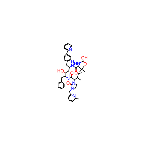 CCC(C)C(C(=O)NC(Cc1ccccc1)C(O)CC(Cc1ccc(-c2ccccn2)cc1)NC(=O)C(NC(=O)O)C(C)(C)C)N1CCN(Cc2cccc(C)n2)C1=O